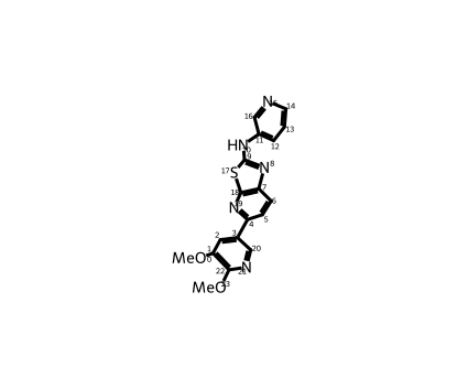 COc1cc(-c2ccc3nc(Nc4cccnc4)sc3n2)cnc1OC